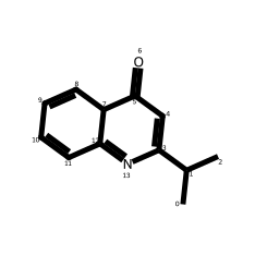 CC(C)C1=CC(=O)C2C=CC=CC2=N1